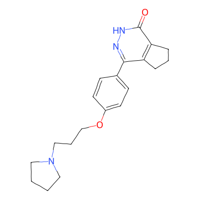 O=c1[nH]nc(-c2ccc(OCCCN3CCCC3)cc2)c2c1CCC2